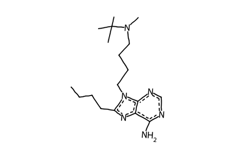 CCCCc1nc2c(N)ncnc2n1CCCCN(C)C(C)(C)C